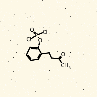 CC(=O)CCc1ccccc1OP(=O)(Cl)Cl